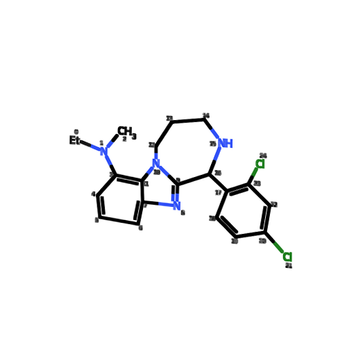 CCN(C)c1cccc2nc3n(c12)CCCNC3c1ccc(Cl)cc1Cl